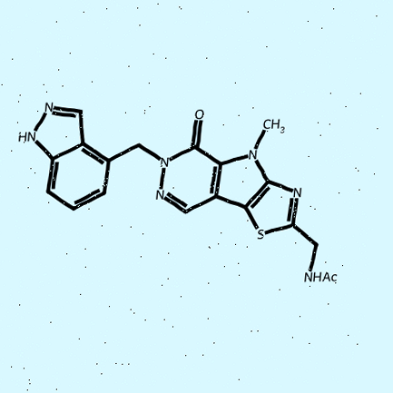 CC(=O)NCc1nc2c(s1)c1cnn(Cc3cccc4[nH]ncc34)c(=O)c1n2C